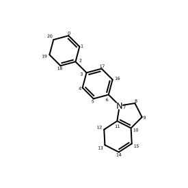 C1=CC(c2ccc(N3CCC4=C3CCC=C4)cc2)=CCC1